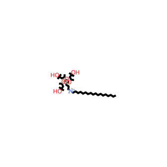 CCCCCCCCCCCCCCCCCC[N+](C)(C)CCC[Si](OC(C)CC(C)(C)O)(OC(C)CC(C)(C)O)OC(C)CC(C)(C)O